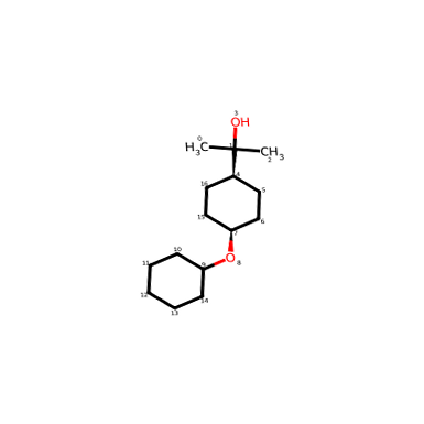 CC(C)(O)[C@H]1CC[C@@H](OC2CCCCC2)CC1